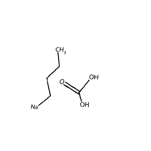 CCC[CH2][Na].O=C(O)O